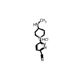 CNC1CCN(c2ccc(C#N)nn2)CC1.Cl